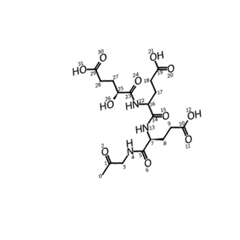 CC(=O)CNC(=O)[C@H](CCC(=O)O)NC(=O)C(CCC(=O)O)NC(=O)[C@@H](O)CCC(=O)O